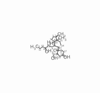 C=C1CC[C@H]2[C@H](CNC(=O)CCC)[C@@H]([C@]3(C)CC[C@H](O)C[C@@H]3CO)CC[C@]12C